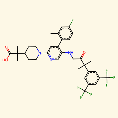 Cc1cc(F)ccc1-c1cc(N2CCC(C(C)(C)C(=O)O)CC2)ncc1NCC(=O)C(C)(C)c1cc(C(F)(F)F)cc(C(F)(F)F)c1